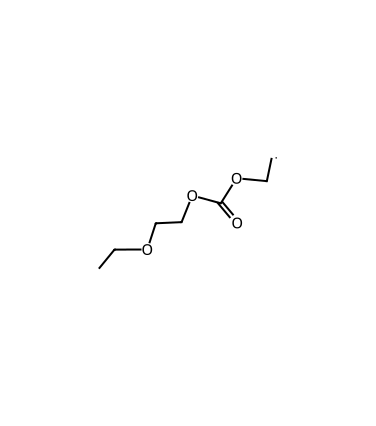 [CH2]COC(=O)OCCOCC